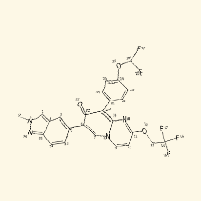 Cn1cc2cc(-c3cn4ccc(OCC(F)(F)F)nc4c(-c4ccc(OC(F)F)cc4)c3=O)ccc2n1